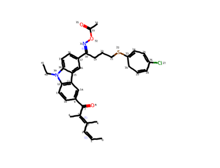 C/C=C\C(C)=C(/C)C(=O)c1ccc2c(c1)c1cc(/C(CCCSC3=CC=C(Cl)C=CC3)=N/OC(C)=O)ccc1n2CC